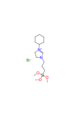 CO[Si](CCCN1C=[N+](C2CCCCC2)CC1)(OC)OC.[Br-]